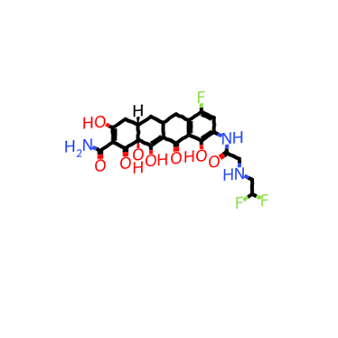 NC(=O)C1=C(O)C[C@@H]2CC3Cc4c(F)cc(NC(=O)CNCC(F)F)c(O)c4C(=O)C3=C(O)[C@]2(O)C1=O